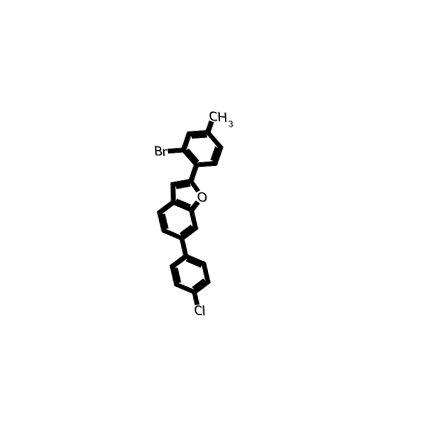 Cc1ccc(-c2cc3ccc(-c4ccc(Cl)cc4)cc3o2)c(Br)c1